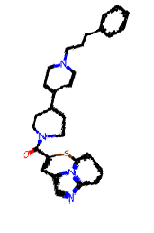 O=C(C1=Cc2cnc3cccc(n23)S1)N1CCC(C2CCN(CCCc3ccccc3)CC2)CC1